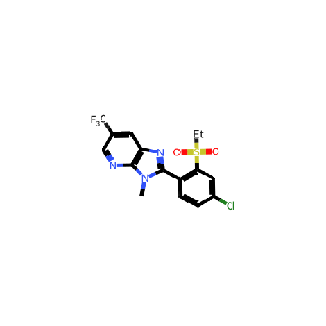 CCS(=O)(=O)c1cc(Cl)ccc1-c1nc2cc(C(F)(F)F)cnc2n1C